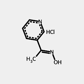 CC(=NO)c1cccnc1.Cl